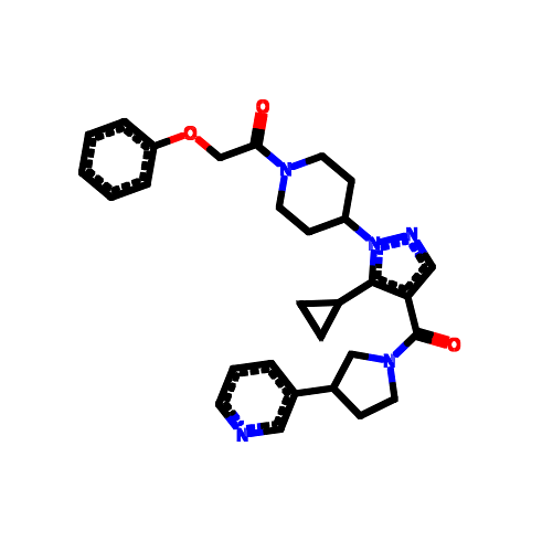 O=C(COc1ccccc1)N1CCC(n2ncc(C(=O)N3CCC(c4cccnc4)C3)c2C2CC2)CC1